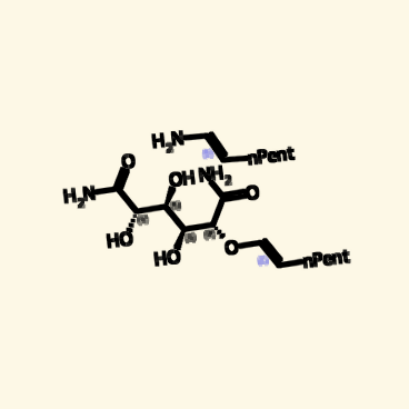 CCCCC/C=C/N.CCCCC/C=C/O[C@@H](C(N)=O)[C@@H](O)[C@H](O)[C@H](O)C(N)=O